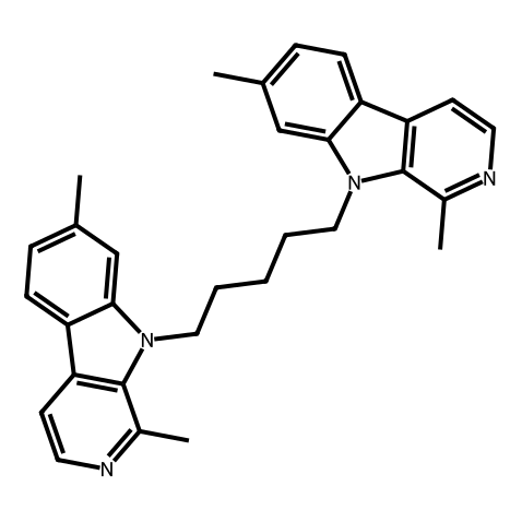 Cc1ccc2c3ccnc(C)c3n(CCCCCn3c4cc(C)ccc4c4ccnc(C)c43)c2c1